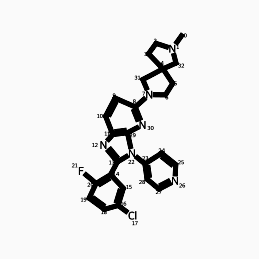 CN1CCC2(CCN(c3ccc4nc(-c5cc(Cl)ccc5F)n(-c5ccncc5)c4n3)C2)C1